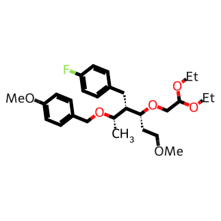 CCOC(CO[C@H](CCOC)[C@@H](Cc1ccc(F)cc1)[C@H](C)OCc1ccc(OC)cc1)OCC